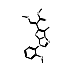 COC=C(C(=O)OC)C1=C(C)N2N=CN(c3ccccc3OC)C2S1